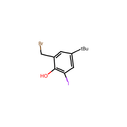 CC(C)(C)c1cc(I)c(O)c(CBr)c1